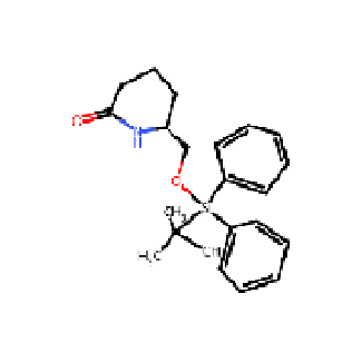 CC(C)(C)[Si](OC[C@@H]1CCCC(=O)N1)(c1ccccc1)c1ccccc1